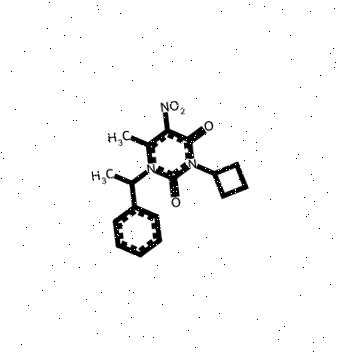 Cc1c([N+](=O)[O-])c(=O)n(C2CCC2)c(=O)n1C(C)c1ccccc1